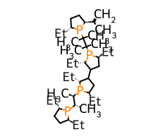 C=C(C)[C@@H]1CC[C@@H](CC)P1C(C)(C)C(C)(C)P1[C@@H](CC)CC(C2C[C@@H](CC)P([C@H](C)[C@H](C)P3[C@@H](CC)CC[C@@H]3CC)[C@@H]2CC)[C@@H]1CC